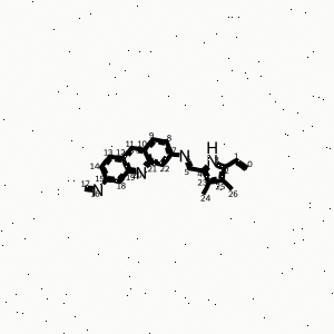 C=Cc1[nH]c(C=Nc2ccc3cc4ccc(N=C)cc4nc3c2)c(C)c1C